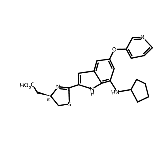 O=C(O)C[C@@H]1CSC(c2cc3cc(Oc4cccnc4)cc(NC4CCCC4)c3[nH]2)=N1